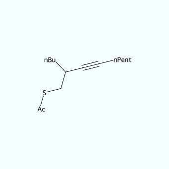 CCCCCC#CC(CCCC)CSC(C)=O